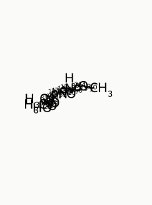 CCCCOc1ccc(C(=O)Nc2ccc(-c3ccc4c(c3)C(=O)N(C(C(=O)O)C(C)C)C4)nc2)cc1